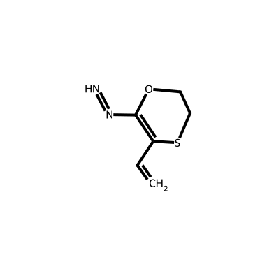 C=CC1=C(N=N)OCCS1